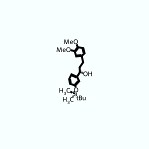 COc1ccc(CC[C@@H](O)c2cccc(O[Si](C)(C)C(C)(C)C)c2)cc1OC